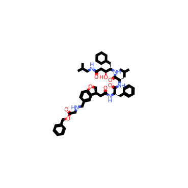 CC(C)CNC(=O)C[C@H](O)[C@H](CC1CCCCC1)NC(=O)[C@H](CC(C)C)NC(=O)[C@H](Cc1ccccc1)NC(=O)CC1COc2ccc(CNCC(=O)OCc3ccccc3)cc21